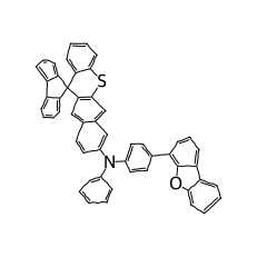 c1ccc(N(c2ccc(-c3cccc4c3oc3ccccc34)cc2)c2ccc3cc4c(cc3c2)Sc2ccccc2C42c3ccccc3-c3ccccc32)cc1